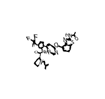 CC(=O)Nc1nc2c(Oc3cc(-c4ccc(C(F)(F)F)cc4NC(=O)[C@@H]4CCN4CC(C)C)ncn3)cccc2s1